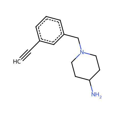 C#Cc1cccc(CN2CCC(N)CC2)c1